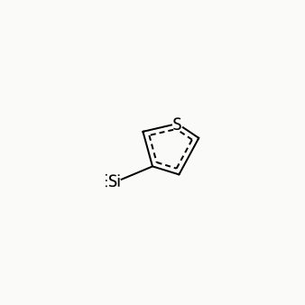 [Si]c1ccsc1